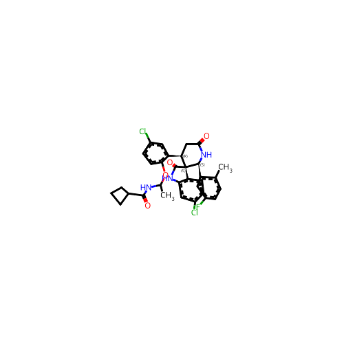 Cc1ccc(F)cc1[C@@H]1NC(=O)C[C@H](c2cc(Cl)ccc2OC(C)NC(=O)C2CCC2)[C@@]12C(=O)Nc1cc(Cl)ccc12